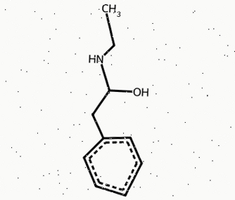 CCN[C](O)Cc1ccccc1